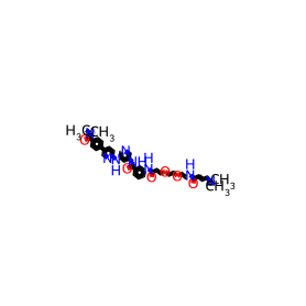 CN(C)C/C=C/C(=O)NCCOCCOCCC(=O)Nc1cccc(C(=O)Nc2cncc(Nc3ccc(-c4ccc(C(=O)N(C)C)cc4)cn3)c2)c1